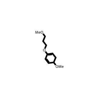 COCCCOC1=CCC(OC)C=C1